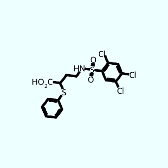 O=C(O)C(CCNS(=O)(=O)c1cc(Cl)c(Cl)cc1Cl)Sc1ccccc1